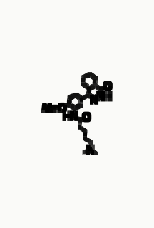 COc1ccc(-c2n[nH]c(=O)c3ccccc23)cc1NC(=O)CCCCN(C)C